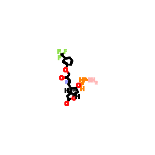 BPPO[C@@H]1C[C@@H]2OC(=O)C[C@@H]2[C@H]1/C=C/C(=O)COc1cccc(C(F)(F)F)c1